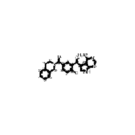 Nc1ncnc2[nH]cc(C(=O)c3cc(C(=O)N4CCc5ccccc5C4)ccc3Cl)c12